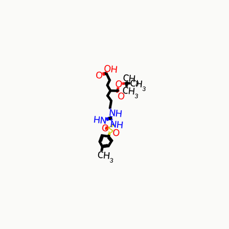 Cc1ccc(S(=O)(=O)NC(=N)NCCCC(CCC(=O)O)C(=O)OC(C)(C)C)cc1